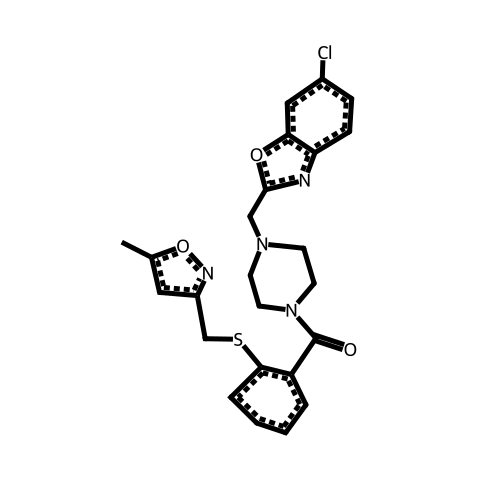 Cc1cc(CSc2ccccc2C(=O)N2CCN(Cc3nc4ccc(Cl)cc4o3)CC2)no1